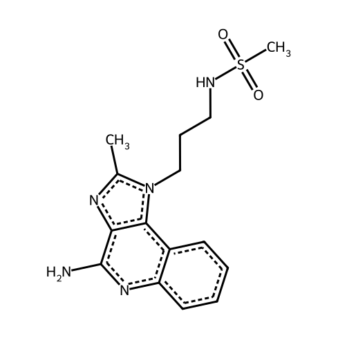 Cc1nc2c(N)nc3ccccc3c2n1CCCNS(C)(=O)=O